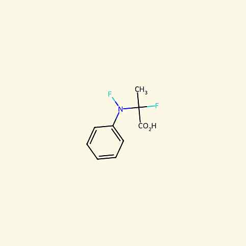 CC(F)(C(=O)O)N(F)c1ccccc1